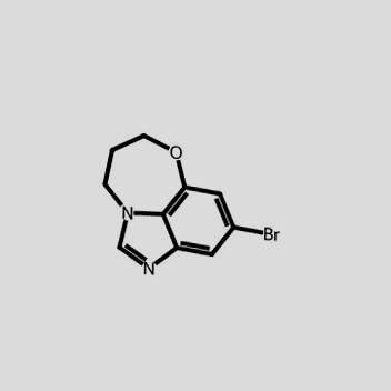 Brc1cc2c3c(c1)ncn3CCCO2